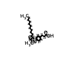 CCCCCCCCCCCCP(C)(=NC)Oc1ccc(CCC(=O)O)cc1